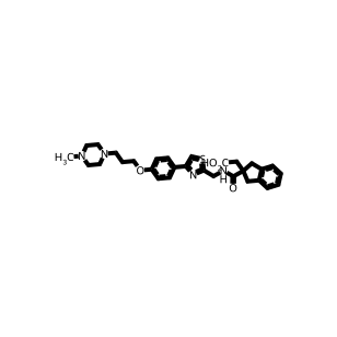 CN1CCN(CCCOc2ccc(-c3csc(CNC(=O)C4(CC(=O)O)Cc5ccccc5C4)n3)cc2)CC1